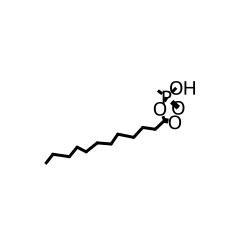 CCCCCCCCCCCC(=O)OP(C)(=O)O